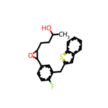 CC(O)CCC1OC1c1ccc(F)c(Cc2cc3ccccc3s2)c1